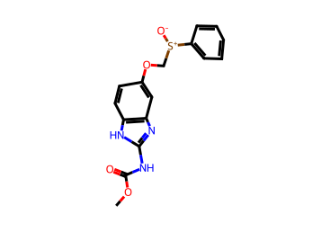 COC(=O)Nc1nc2cc(OC[S+]([O-])c3ccccc3)ccc2[nH]1